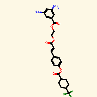 Nc1cc(N)cc(C(=O)OCCOC(=O)C=Cc2ccc(OC(=O)C3CCC(C(F)(F)F)CC3)cc2)c1